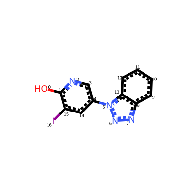 Oc1ncc(-n2nnc3ccccc32)cc1I